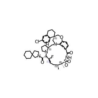 C[C@@H]1[C@@H](C)C/C=C(\F)[C@H](C(=O)N2CCC3(CCCCC3)C2)N2CCC[C@H]2CN2C[C@@]3(CCCc4cc(Cl)ccc43)COc3ccc(cc32)C(=O)NS1(=O)=O